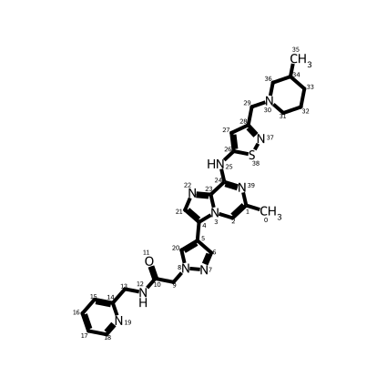 Cc1cn2c(-c3cnn(CC(=O)NCc4ccccn4)c3)cnc2c(Nc2cc(CN3CCCC(C)C3)ns2)n1